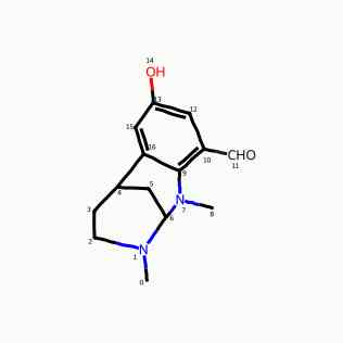 CN1CCC2CC1N(C)c1c(C=O)cc(O)cc12